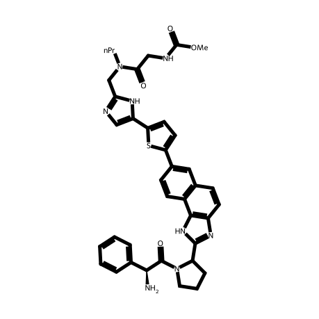 CCCN(Cc1ncc(-c2ccc(-c3ccc4c(ccc5nc(C6CCCN6C(=O)[C@@H](N)c6ccccc6)[nH]c54)c3)s2)[nH]1)C(=O)CNC(=O)OC